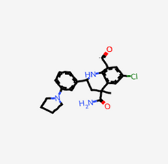 CC1(C(N)=O)CC(c2cccc(N3CCCC3)c2)Nc2c([C]=O)cc(Cl)cc21